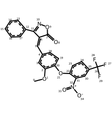 COc1cc(/C=C2\C(=O)ON=C2c2ccccc2)ccc1Oc1ccc(C(F)(F)F)cc1[N+](=O)[O-]